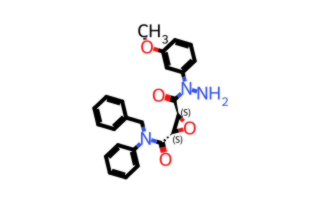 COc1cccc(N(N)C(=O)[C@H]2O[C@@H]2C(=O)N(Cc2ccccc2)c2ccccc2)c1